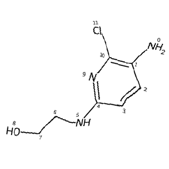 Nc1ccc(NCCO)nc1Cl